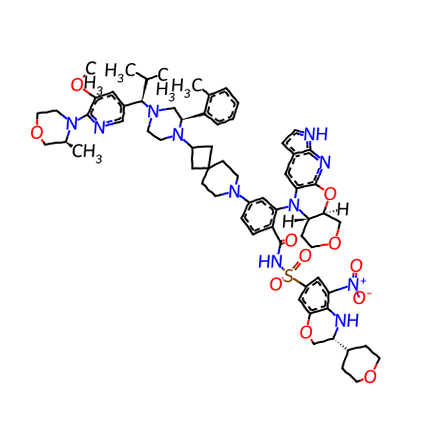 COc1cc([C@@H](C(C)C)N2CCN(C3CC4(CCN(c5ccc(C(=O)NS(=O)(=O)c6cc7c(c([N+](=O)[O-])c6)N[C@H](C6CCOCC6)CO7)c(N6c7cc8cc[nH]c8nc7O[C@H]7COCC[C@@H]76)c5)CC4)C3)[C@H](c3ccccc3C)C2)cnc1N1CCOC[C@@H]1C